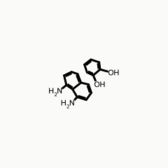 Nc1cccc2cccc(N)c12.Oc1ccccc1O